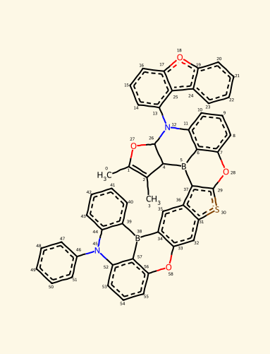 CC1=C(C)C2B3c4c(cccc4N(c4cccc5oc6ccccc6c45)C2O1)Oc1sc2cc4c(cc2c13)B1c2ccccc2N(c2ccccc2)c2cccc(c21)O4